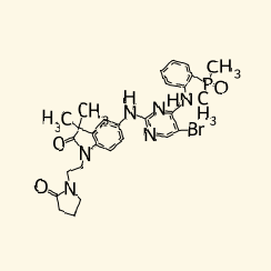 CC1(C)C(=O)N(CCN2CCCC2=O)c2ccc(Nc3ncc(Br)c(Nc4ccccc4P(C)(C)=O)n3)cc21